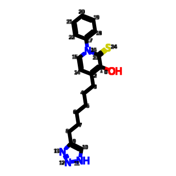 Oc1c(CCCCCCc2c[nH]nn2)ccn(-c2ccccc2)c1=S